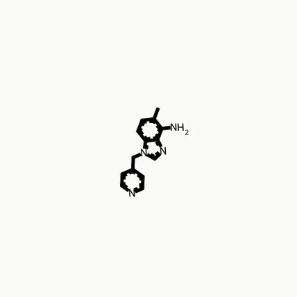 Cc1ccc2c(ncn2Cc2ccncc2)c1N